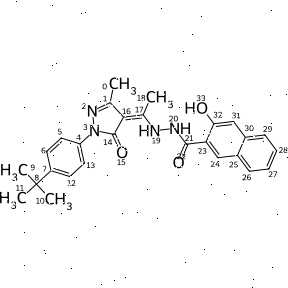 CC1=NN(c2ccc(C(C)(C)C)cc2)C(=O)/C1=C(/C)NNC(=O)c1cc2ccccc2cc1O